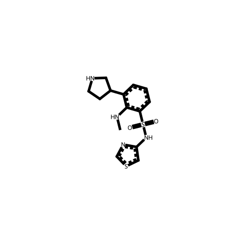 CNc1c(C2CCNC2)cccc1S(=O)(=O)Nc1cscn1